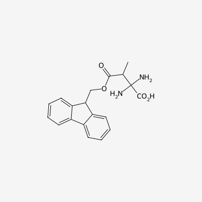 CC(C(=O)OCC1c2ccccc2-c2ccccc21)C(N)(N)C(=O)O